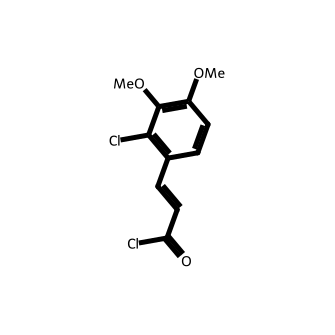 COc1ccc(/C=C/C(=O)Cl)c(Cl)c1OC